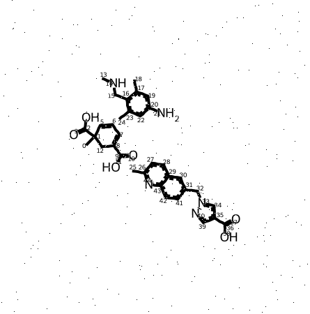 CC1(C(=O)O)C=CC=C(C(=O)O)C1.CNCc1c(C)cc(N)cc1C.Cc1ccc2cc(Cn3cc(C(=O)O)cn3)ccc2n1